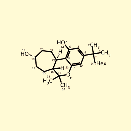 CCCCCCC(C)(C)c1cc(O)c2c(c1)OC(C)(C)[C@@H]1CC[C@H](O)CC[C@@H]21